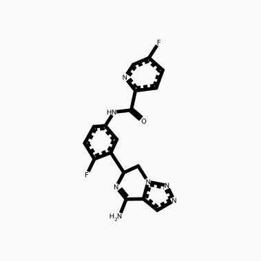 NC1=NC(c2cc(NC(=O)c3ccc(F)cn3)ccc2F)Cn2nncc21